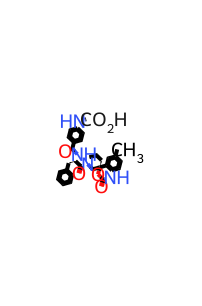 Cc1ccc2c(c1)[C@@]1(CCCN(C(=O)[C@H](Cc3ccccc3)NC(=O)c3ccc(NC(=O)O)cc3)C1)OC(=O)N2